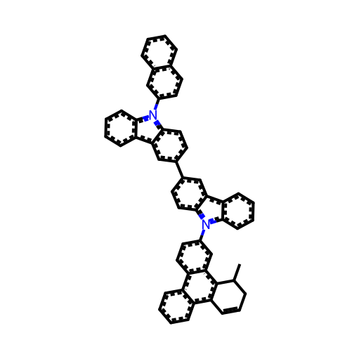 CC1CC=Cc2c1c1cc(-n3c4ccccc4c4cc(-c5ccc6c(c5)c5ccccc5n6-c5ccc6ccccc6c5)ccc43)ccc1c1ccccc21